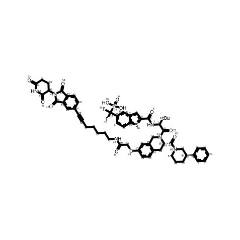 CC(C)(C)C(NC(=O)c1cc2cc(C(F)(F)P(=O)(O)O)ccc2s1)C(=O)N1Cc2cc(OCC(=O)NCCCCCC#Cc3ccc4c(c3)C(=O)N(C3CCC(=O)NC3=O)C4=O)ccc2C[C@H]1C(=O)N1CCC[C@H](c2ccccc2)C1